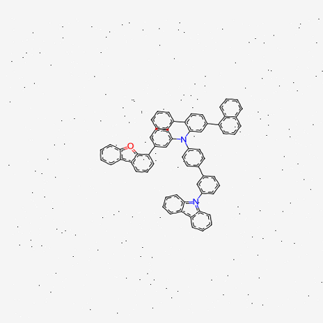 c1ccc(-c2ccc(-c3cccc4ccccc34)cc2N(c2ccc(-c3cccc(-n4c5ccccc5c5ccccc54)c3)cc2)c2cccc(-c3cccc4c3oc3ccccc34)c2)cc1